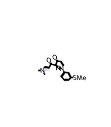 CSc1cccc(-n2ccc(=O)c(C(=O)/C=C/N(C)C)n2)c1